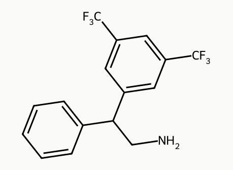 NCC(c1ccccc1)c1cc(C(F)(F)F)cc(C(F)(F)F)c1